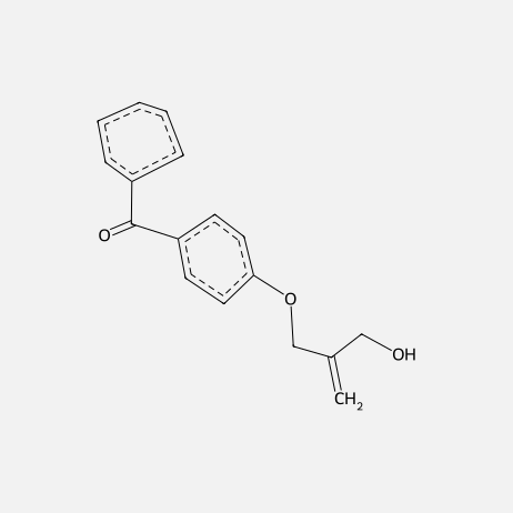 C=C(CO)COc1ccc(C(=O)c2ccccc2)cc1